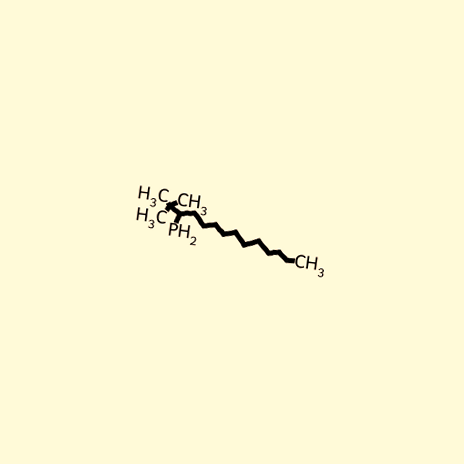 CCCCCCCCCCCC(P)C(C)(C)C